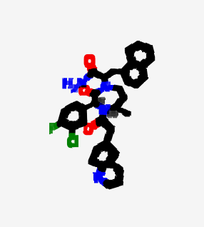 C[C@@H]1CCN(C(Cc2cccc3ccccc23)C(N)=O)C(=O)[C@H](c2ccc(F)c(Cl)c2)N1C(=O)Cc1ccc2ncccc2c1